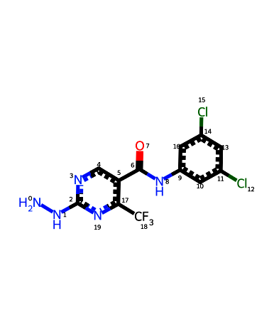 NNc1ncc(C(=O)Nc2cc(Cl)cc(Cl)c2)c(C(F)(F)F)n1